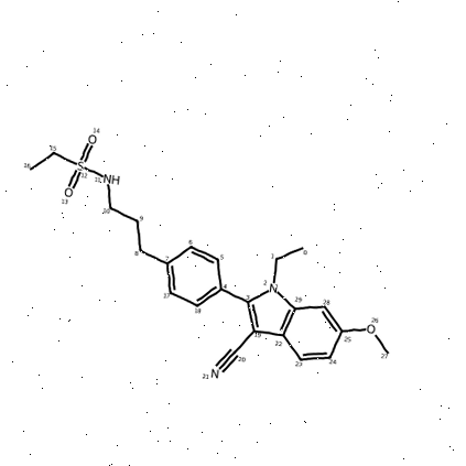 CCn1c(-c2ccc(CCCNS(=O)(=O)CC)cc2)c(C#N)c2ccc(OC)cc21